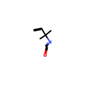 C=CC(C)(C)N=C=O